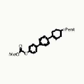 CCCCCC1CC=C(c2ccc(-c3ccc(OC(=O)OC)cc3)cc2)CC1